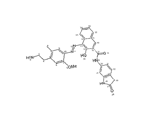 COc1cc(CCN)c(C)cc1/N=N/c1c(O)c(C(=O)Nc2ccc3c(c2)NC(=O)C3)cc2ccccc12